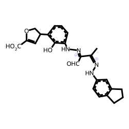 CC(=N/Nc1ccc2c(c1)CCC2)/C(C=O)=N/Nc1cccc(C2C=C(C(=O)O)OC2)c1O